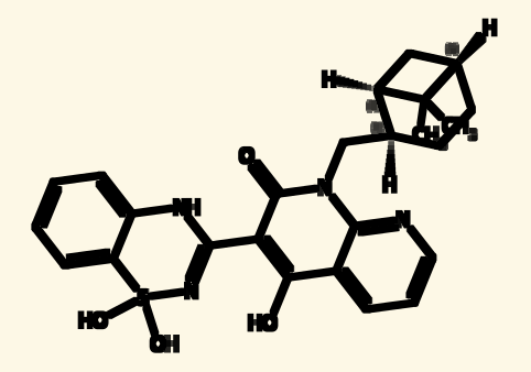 CC1(C)[C@H]2CC[C@@H](Cn3c(=O)c(C4=NS(O)(O)c5ccccc5N4)c(O)c4cccnc43)[C@H]1C2